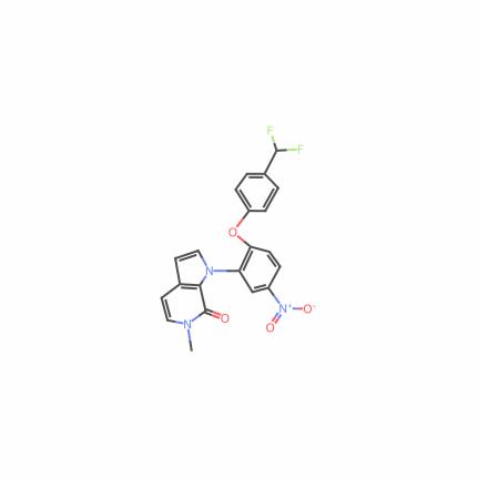 Cn1ccc2ccn(-c3cc([N+](=O)[O-])ccc3Oc3ccc(C(F)F)cc3)c2c1=O